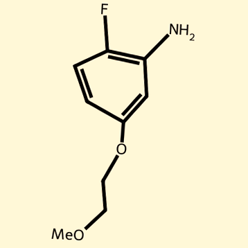 COCCOc1ccc(F)c(N)c1